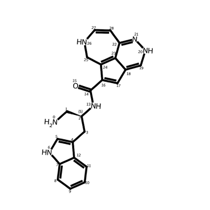 NC[C@H](Cc1c[nH]c2ccccc12)NC(=O)c1cc2c[nH]nc3c-2c1CNC=C3